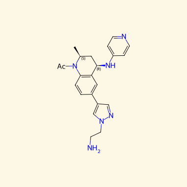 CC(=O)N1c2ccc(-c3cnn(CCN)c3)cc2[C@H](Nc2ccncc2)C[C@@H]1C